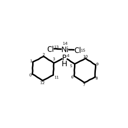 C1CCC(PC2CCCCC2)CC1.[Cl][Ni][Cl]